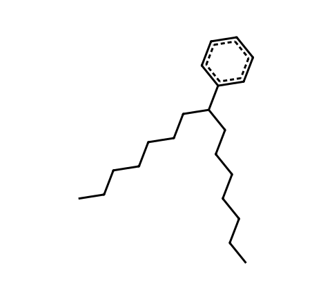 CCCCCCCC(CCCCCCC)c1ccccc1